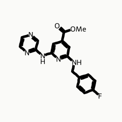 COC(=O)c1cc(NCc2ccc(F)cc2)nc(Nc2cnccn2)c1